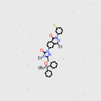 CCc1nn(-c2cccc(F)c2)c(=O)c2ccc(-n3nc(CO[Si](c4ccccc4)(c4ccccc4)C(C)(C)C)n(CC)c3=O)cc12